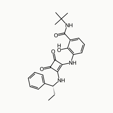 CC[C@@H](Nc1c(Nc2cccc(C(=O)NC(C)(C)C)c2O)c(=O)c1=O)c1ccccc1